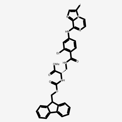 CCc1cc(Nc2nccn3c(I)cnc23)ccc1C(=O)NC[C@H](NC(=O)OCC1c2ccccc2-c2ccccc21)C(=O)OC